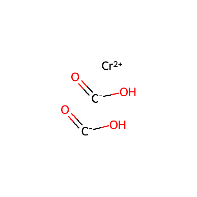 O=[C-]O.O=[C-]O.[Cr+2]